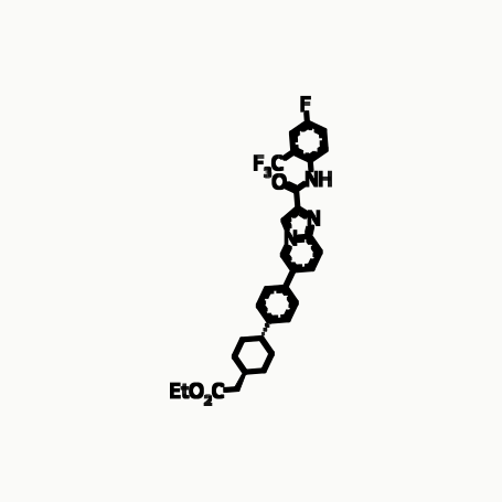 CCOC(=O)C[C@H]1CC[C@H](c2ccc(-c3ccc4nc(C(=O)Nc5ccc(F)cc5C(F)(F)F)cn4c3)cc2)CC1